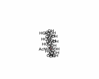 CC(=O)N[C@H]1[C@H](O[C@H]2[C@@H](O)[C@@H](CO)O[C@H](O[C@H]3[C@@H](O)[C@@H](CO)O[C@@H](O[C@H]4[C@H](O)[C@@H](O)[C@H](O)O[C@@H]4CO)[C@@H]3O)[C@@H]2O)O[C@H](CO)[C@@H](O[C@@H]2O[C@H](CO)[C@H](O)[C@H](O)[C@H]2O)[C@@H]1O